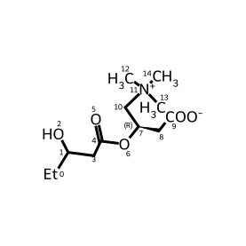 CCC(O)CC(=O)O[C@H](CC(=O)[O-])C[N+](C)(C)C